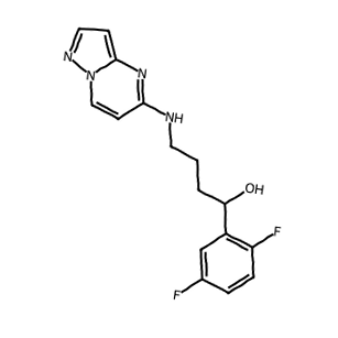 OC(CCCNc1ccn2nccc2n1)c1cc(F)ccc1F